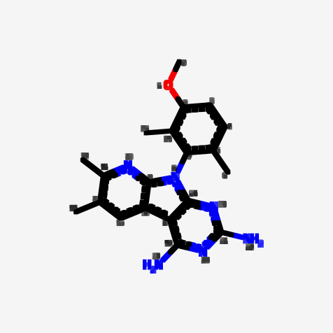 COc1ccc(C)c(-n2c3nc(C)c(C)cc3c3c(N)nc(N)nc32)c1C